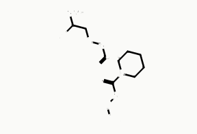 CNC(C)CONC(=O)[C@@H]1CCCCN1C(=O)NOS(=O)(=O)O